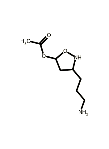 CC(=O)OC1CC(CCCN)NO1